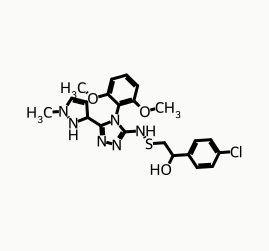 COc1cccc(OC)c1-n1c(NSCC(O)c2ccc(Cl)cc2)nnc1C1C=CN(C)N1